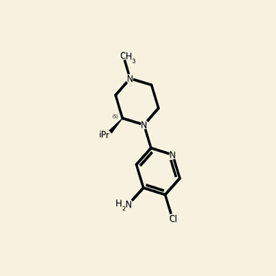 CC(C)[C@H]1CN(C)CCN1c1cc(N)c(Cl)cn1